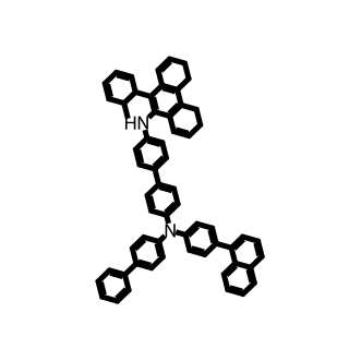 CC1C=CC=CC1c1c2c(c3c(c1Nc1ccc(-c4ccc(N(c5ccc(-c6ccccc6)cc5)c5ccc(-c6cccc7ccccc67)cc5)cc4)cc1)C=CCC3)CCC=C2